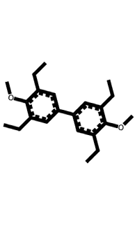 CCc1cc(-c2cc(CC)c(OC)c(CC)c2)cc(CC)c1OC